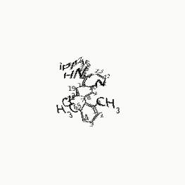 Cc1cccc(C)c1-c1cc2nccc(NCC(C)C)c2cc1Cl